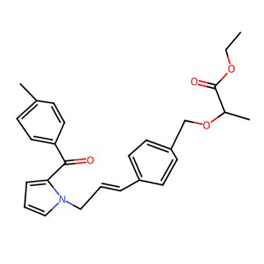 CCOC(=O)C(C)OCc1ccc(C=CCn2cccc2C(=O)c2ccc(C)cc2)cc1